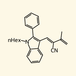 C=C(C)/C(C#N)=C/c1c(-c2ccccc2)n(CCCCCC)c2ccccc12